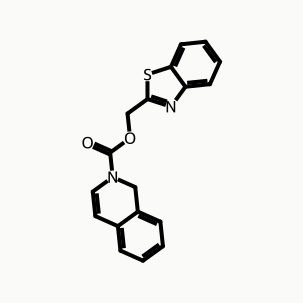 O=C(OCc1nc2ccccc2s1)N1C=Cc2ccccc2C1